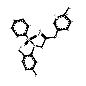 Cc1ccc(C)c(N(CC(=O)Nc2ccc(C)nc2)S(=O)(=O)c2ccccc2)c1